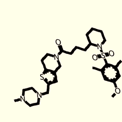 COc1cc(C)c(S(=O)(=O)N2CCCCC2CCCC(=O)N2CCc3sc(CN4CCN(C)CC4)cc3C2)c(C)c1